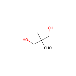 CC([C]=O)(CO)CO